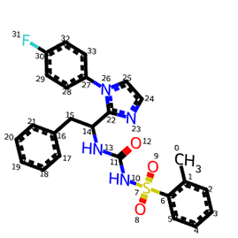 Cc1ccccc1S(=O)(=O)NC(=O)NC(Cc1ccccc1)c1nccn1-c1ccc(F)cc1